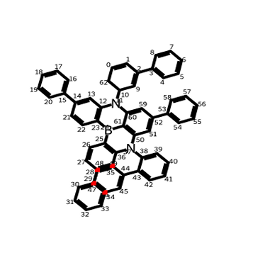 C1=CC(c2ccccc2)=CC(N2c3cc(-c4ccccc4)ccc3B3c4ccc(-c5ccccc5)cc4N(c4ccccc4-c4ccccc4)c4cc(-c5ccccc5)cc2c43)C1